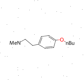 CCCCOc1ccc(CCNC)cc1